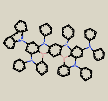 c1ccc(N(c2ccccc2)c2cc3c4c(c2)N(c2ccccc2)c2cc5c(cc2B4c2ccccc2N3c2ccccc2)B2c3ccccc3N(c3ccccc3)c3cc(-n4c6ccccc6c6ccccc64)cc(c32)N5c2ccccc2)cc1